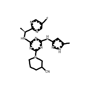 Cc1cc(Nc2nc(N[C@@H](C)c3ncc(F)cn3)nc(N3CCCC(C#N)C3)n2)n[nH]1